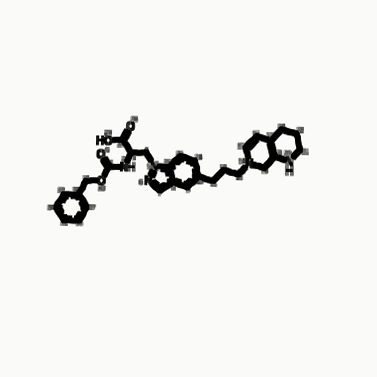 O=C(NC(Cn1ncc2cc(CCCN3C=CC4=C(C3)NCCC4)ccc21)C(=O)O)OCc1ccccc1